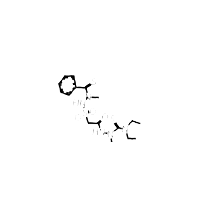 CCN(CC)C(=S)N(C)NC(=O)CS(=O)(=O)NN(C)C(=S)c1ccccc1